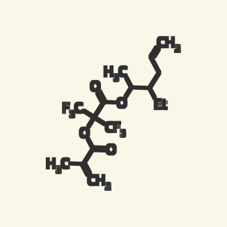 C=CCC(CC)C(C)OC(=O)C(OC(=O)C(=C)C)(C(F)(F)F)C(F)(F)F